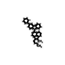 C=N/C=C\C1=C(C)c2cccc3c(-n4c5ccccc5c5cc(-c6ccccc6)ccc54)ncc1c23